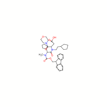 CN(C(=O)OCC1c2ccccc2-c2ccccc21)C(C(=O)N(CCC1CCCC1)C(CC(=O)O)C(=O)N1CCOCC1)C1CCCC1